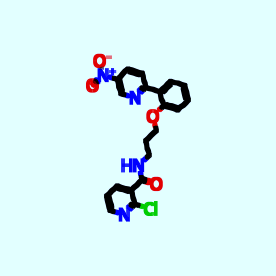 O=C(NCCCOc1ccccc1-c1ccc([N+](=O)[O-])cn1)c1cccnc1Cl